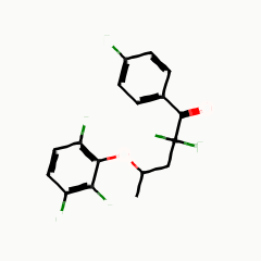 CC(CC(F)(F)C(=O)c1ccc(F)cc1)Oc1c(F)ccc(Cl)c1F